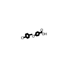 O=C(O)c1ccc(OCc2ccc(Cl)cc2)cc1